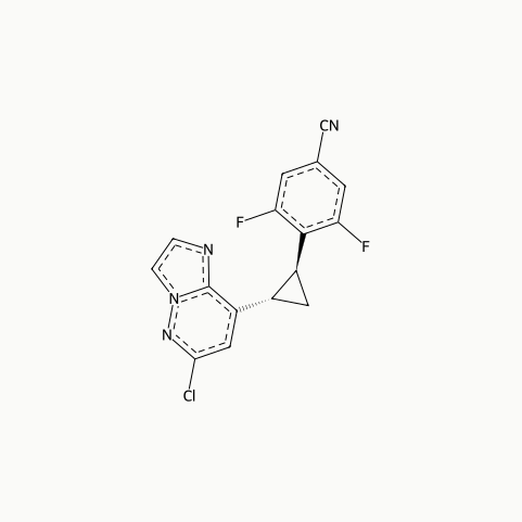 N#Cc1cc(F)c([C@H]2C[C@@H]2c2cc(Cl)nn3ccnc23)c(F)c1